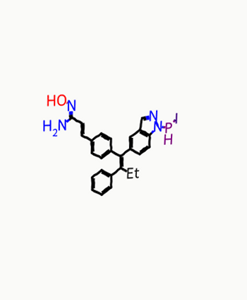 CC/C(=C(/c1ccc(/C=C/C(N)=N/O)cc1)c1ccc2c(cnn2PI)c1)c1ccccc1